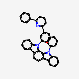 c1ccc(-c2cccc(-c3cccc(-n4c5ccccc5c5ccc6c7ccccc7n(-c7ccccc7)c6c54)c3)n2)cc1